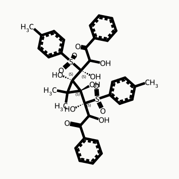 Cc1ccc(S(=O)(=O)[C@@](O)(C(O)C(=O)c2ccccc2)[C@]2(O)C(C)(C)[C@@]2(O)[C@](O)(C(O)C(=O)c2ccccc2)S(=O)(=O)c2ccc(C)cc2)cc1